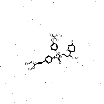 CCOC(C#Cc1ccc(N2C(=O)[C@H](CCC(OC(C)=O)c3ccc(F)cc3)[C@H]2c2ccc(OS(=O)(=O)C(F)(F)F)cc2)cc1)OCC